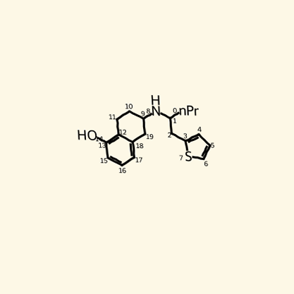 CCCC(Cc1cccs1)NC1CCc2c(O)cccc2C1